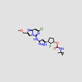 COCc1cn2c(Nc3cc([C@H]4CC[C@@H](OC(=O)NC5(C)CC5)[C@@H]4F)[nH]n3)nc(Cl)cc2n1